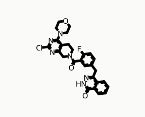 O=C(c1cc(Cc2n[nH]c(=O)c3ccccc23)ccc1F)N1CCc2c(nc(Cl)nc2N2CCOCC2)C1